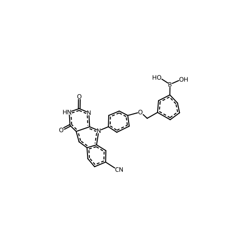 N#Cc1ccc2cc3c(=O)[nH]c(=O)nc-3n(-c3ccc(OCc4cccc(B(O)O)c4)cc3)c2c1